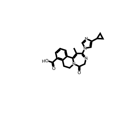 CC1=C2c3cccc(C(=O)O)c3CCN2C(=O)CN=C1n1cnc(C2CC2)c1